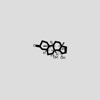 C[C@]12CCC(=O)C[C@@H]1C[C@@H](O)[C@H]1[C@@H]3[C@@H](O)C=C[C@@]3(C)CC[C@@H]12